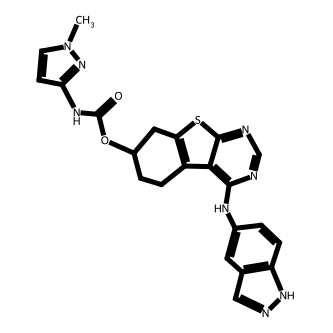 Cn1ccc(NC(=O)OC2CCc3c(sc4ncnc(Nc5ccc6[nH]ncc6c5)c34)C2)n1